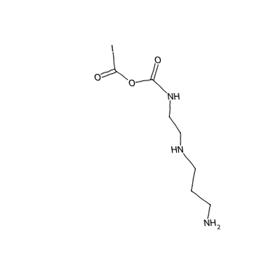 NCCCNCCNC(=O)OC(=O)I